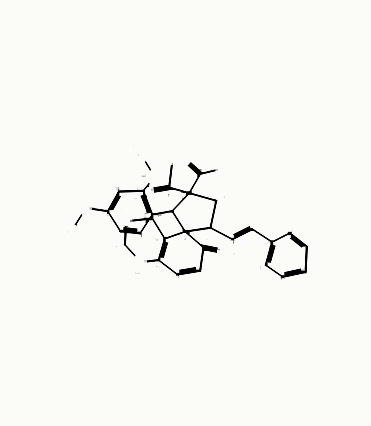 COc1ccc(C2C(C(=O)O)(C(=O)O)CC(/C=C/c3ccccc3)C23C(=O)C=CC2=C3COCO2)c(OC)c1